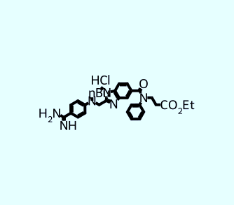 CCCCN(Cc1nc2cc(C(=O)N(CCC(=O)OCC)c3ccccc3)ccc2n1C)c1ccc(C(=N)N)cc1.Cl